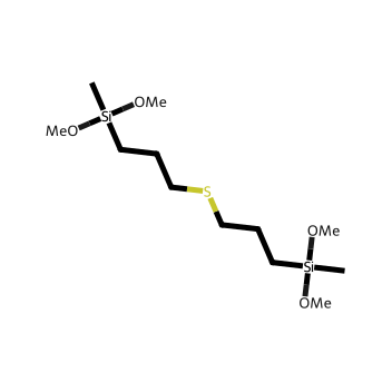 CO[Si](C)(CCCSCCC[Si](C)(OC)OC)OC